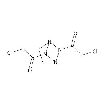 O=C(CCl)N1N2CCN1N2C(=O)CCl